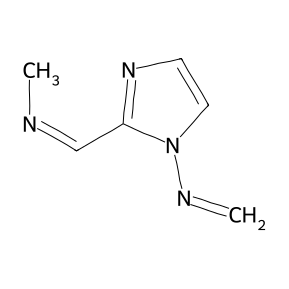 C=Nn1ccnc1/C=N\C